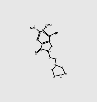 COc1cc2c(c(Br)c1OC)CN(CCN1CCOCC1)C2=O